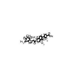 Cn1c(=O)c2c(ncn2CC(=O)N2CC=C3C(C)(C)C(c4ccc(C(=O)O)cc4)=CC[C@]3(C)C2)n(C)c1=O